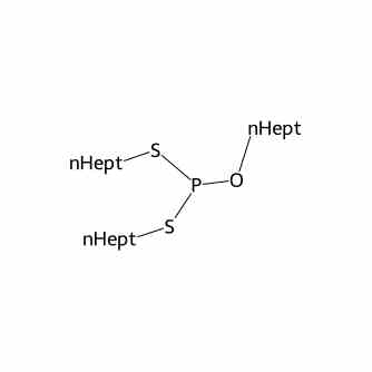 CCCCCCCOP(SCCCCCCC)SCCCCCCC